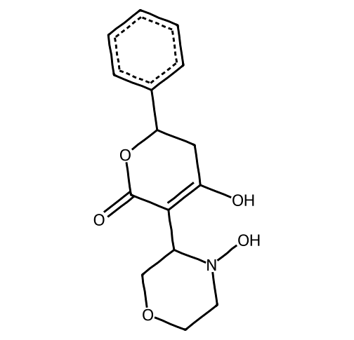 O=C1OC(c2ccccc2)CC(O)=C1C1COCCN1O